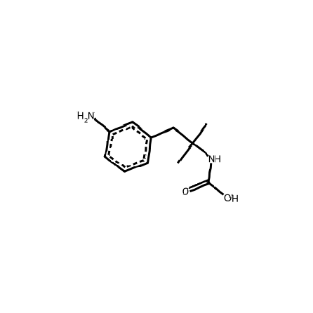 CC(C)(Cc1cccc(N)c1)NC(=O)O